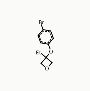 CCC1(Oc2ccc(Br)cc2)COC1